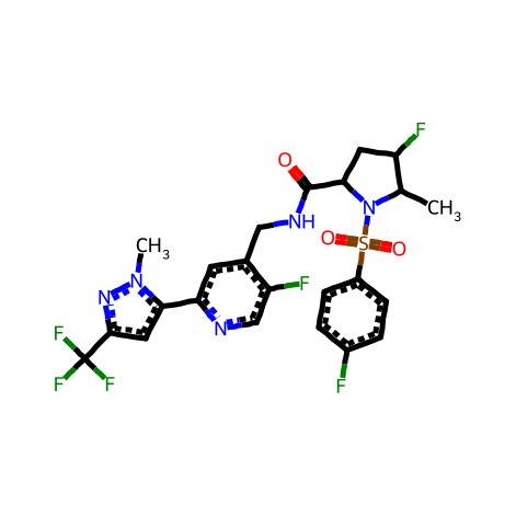 CC1C(F)CC(C(=O)NCc2cc(-c3cc(C(F)(F)F)nn3C)ncc2F)N1S(=O)(=O)c1ccc(F)cc1